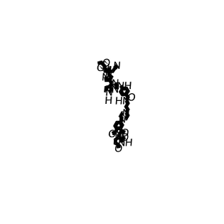 CCS(=O)(=O)N1CC(CC#N)(n2cc(-c3nc(Nc4ccc(C(=O)NCCCN5CCN(c6ccc7c(c6)C(=O)N(C6CCC(=O)NC6=O)C7=O)CC5)cc4)nc4[nH]ccc34)cn2)C1